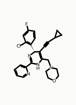 Fc1ccc([C@H]2N=C(c3ccccn3)NC(CN3CCOCC3)=C2C#CC2CC2)c(Cl)c1